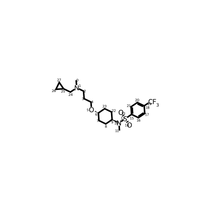 CN(CCCO[C@H]1CC[C@H](N(C)S(=O)(=O)c2ccc(C(F)(F)F)cc2)CC1)CC1CC1